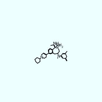 C=C1C=C(N(C)C2CCN(N)/C(=C(/C)N)c3ccc(C4=CCN(C5CCCCC5)CC4)cc3C2)C=C(C)C1